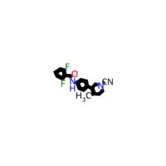 CC1=C(c2ccc(NC(=O)c3c(F)cccc3F)cc2)CN(C#N)CC1